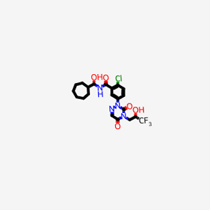 O=C(NC(O)C1CCCCCC1)c1cc(-n2ncc(=O)n(CC(O)C(F)(F)F)c2=O)ccc1Cl